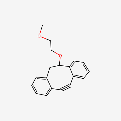 COCCOC1Cc2ccccc2C#Cc2ccccc21